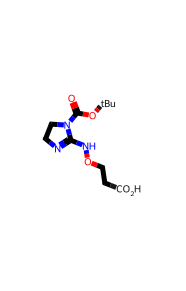 CC(C)(C)OC(=O)N1CCN=C1NOCCC(=O)O